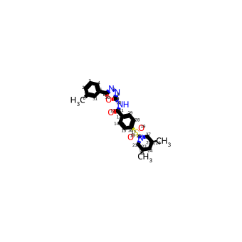 Cc1cccc(-c2nnc(NC(=O)c3ccc(S(=O)(=O)N4C[C@H](C)C[C@H](C)C4)cc3)o2)c1